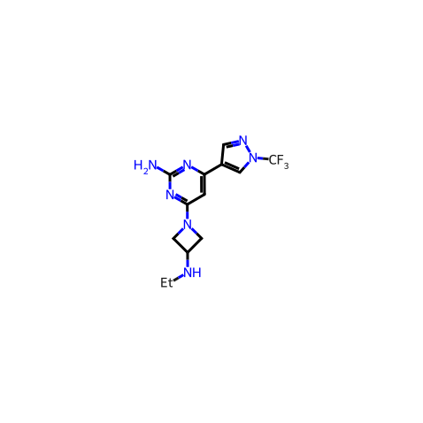 CCNC1CN(c2cc(-c3cnn(C(F)(F)F)c3)nc(N)n2)C1